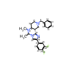 CC(N(C)C1CCN(Cc2ccccc2)CC1)n1cnc(-c2ccc(F)c(F)c2)c1